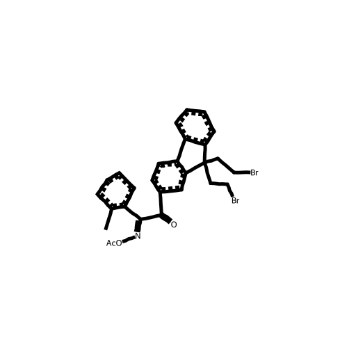 CC(=O)O/N=C(/C(=O)c1ccc2c(c1)C(CCBr)(CCBr)c1ccccc1-2)c1ccccc1C